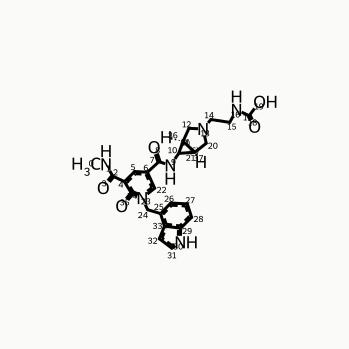 CNC(=O)c1cc(C(=O)NC2[C@H]3CN(CCNC(=O)O)C[C@@H]23)cn(Cc2cccc3[nH]ccc23)c1=O